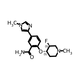 CN1CC[C@H](Oc2ccc(-c3cn(C)cn3)cc2C(N)=O)[C@@H](F)C1